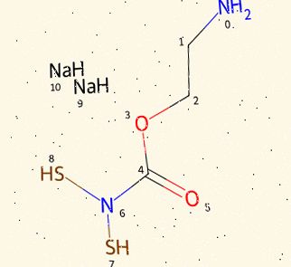 NCCOC(=O)N(S)S.[NaH].[NaH]